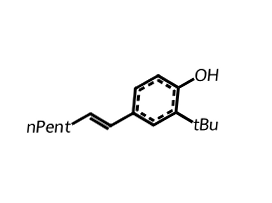 CCCCCC=Cc1ccc(O)c(C(C)(C)C)c1